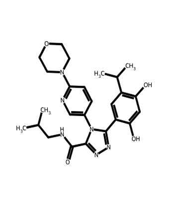 CC(C)CNC(=O)c1nnc(-c2cc(C(C)C)c(O)cc2O)n1-c1ccc(N2CCOCC2)nc1